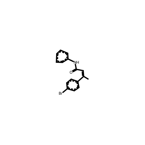 C/C(=C/C(=O)Nc1ccccc1)c1ccc(Br)cc1